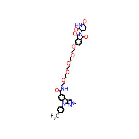 Cn1cc2c3cc(C(=O)NCCOCCOCCOCCOCCOc4ccc5c(c4)C(=O)N(C4CCC(=O)NC4=O)C5=O)ccc3n(-c3ccc(C(F)(F)F)cc3)c2n1